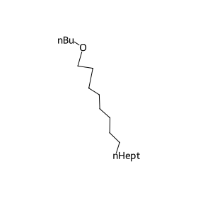 [CH2]CCCOCCCCCCCCCCCCCCC